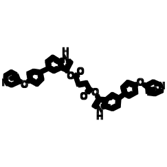 O=C(/C=C/C(=O)Oc1c[nH]c2ccc(-c3ccc(OC4CN5CCC4CC5)cc3)cc12)Oc1c[nH]c2ccc(-c3ccc(OC4CN5CCC4CC5)cc3)cc12